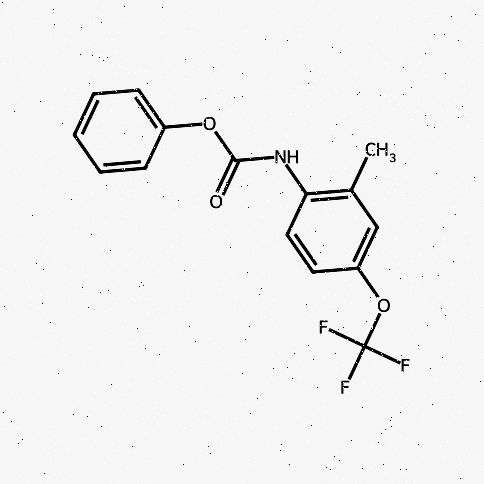 Cc1cc(OC(F)(F)F)ccc1NC(=O)Oc1ccccc1